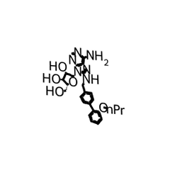 CCCOc1ccccc1-c1ccc(CNc2nc3c(N)ncnc3n2[C@@H]2O[C@H](CO)[C@@H](O)[C@H]2O)cc1